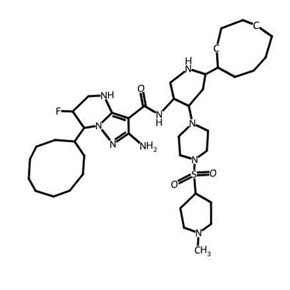 CN1CCC(S(=O)(=O)N2CCN(C3CC(C4CCCCCCCC4)NCC3NC(=O)c3c(N)nn4c3NCC(F)C4C3CCCCCCCCC3)CC2)CC1